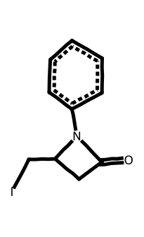 O=C1CC(CI)N1c1ccccc1